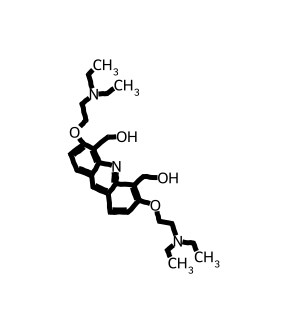 CCN(CC)CCOc1ccc2cc3ccc(OCCN(CC)CC)c(CO)c3nc2c1CO